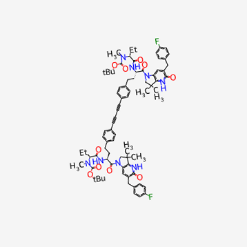 CC[C@@H](C(=O)N[C@@H](CCc1ccc(C#CC#Cc2ccc(CC[C@H](NC(=O)[C@H](CC)N(C)C(=O)OC(C)(C)C)C(=O)N3CC(C)(C)c4[nH]c(=O)c(Cc5ccc(F)cc5)cc43)cc2)cc1)C(=O)N1CC(C)(C)c2[nH]c(=O)c(Cc3ccc(F)cc3)cc21)N(C)C(=O)OC(C)(C)C